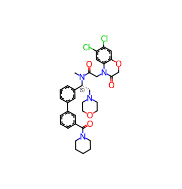 CN(C(=O)CN1C(=O)COc2cc(Cl)c(Cl)cc21)[C@H](CN1CCOCC1)c1cccc(-c2cccc(C(=O)N3CCCCC3)c2)c1